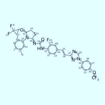 Cc1ccc(C2CC2(F)F)c(N2C(=O)CSC2=NC(=O)Nc2ccc(C=Cc3ncn(-c4ccc(OC(F)(F)F)cc4)n3)cc2F)c1